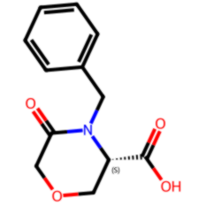 O=C(O)[C@@H]1COCC(=O)N1Cc1ccccc1